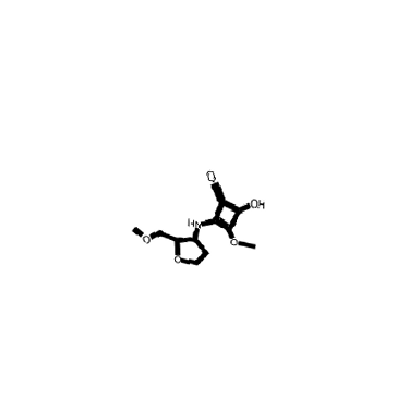 COCC1OCCC1NC1=C(OC)C(O)C1=O